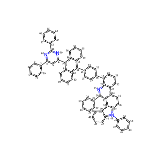 c1ccc(-c2cc(-c3c4ccccc4c(-c4ccc(-c5cccc6c5nc(-c5ccccc5)c5c6ccc6c5c5ccccc5n6-c5ccccc5)cc4)c4ccccc34)nc(-c3ccccc3)n2)cc1